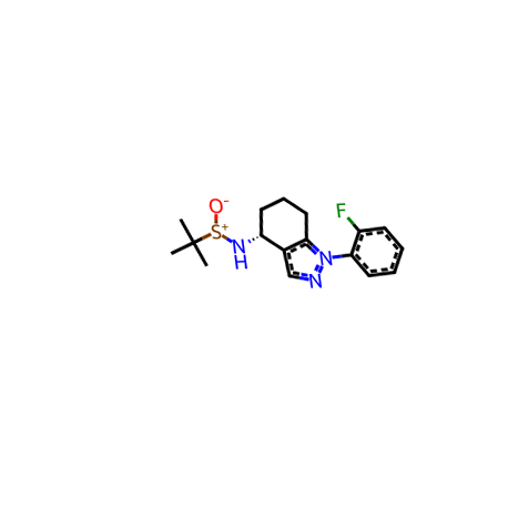 CC(C)(C)[S+]([O-])N[C@@H]1CCCc2c1cnn2-c1ccccc1F